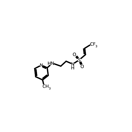 Cc1ccnc(NCCNS(=O)(=O)C=CC(F)(F)F)c1